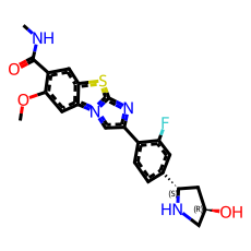 CNC(=O)c1cc2sc3nc(-c4ccc([C@@H]5C[C@@H](O)CN5)cc4F)cn3c2cc1OC